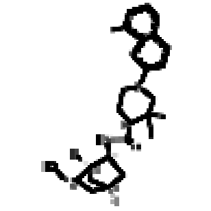 Cc1cccc2ccc(N3CC[C@H](C(=O)N[C@H]4C[C@H]5C[C@H](CO)[C@@H]4C5)C(C)(C)C3)nc12